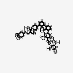 COc1nc(-c2cccc(-c3cccc(-c4ccn5c(=O)c(CNC6CCS(=O)(=O)CC6)cnc5c4)c3Cl)c2Cl)ccc1CN(C[C@@H]1CCC(=O)N1)C(=O)O